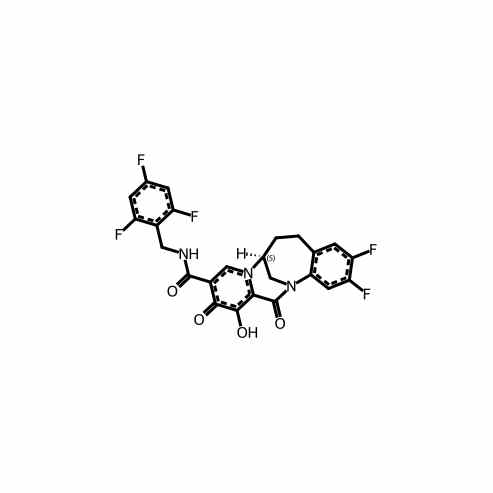 O=C(NCc1c(F)cc(F)cc1F)c1cn2c(c(O)c1=O)C(=O)N1C[C@@H]2CCc2cc(F)c(F)cc21